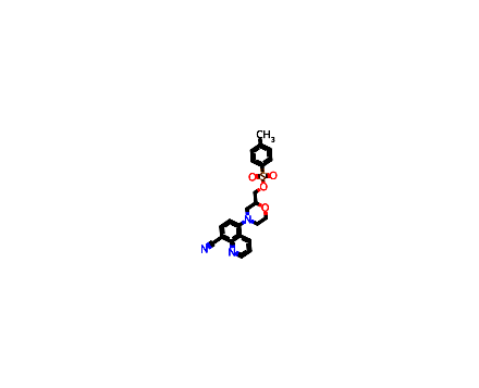 Cc1ccc(S(=O)(=O)OCC2CN(c3ccc(C#N)c4ncccc34)CCO2)cc1